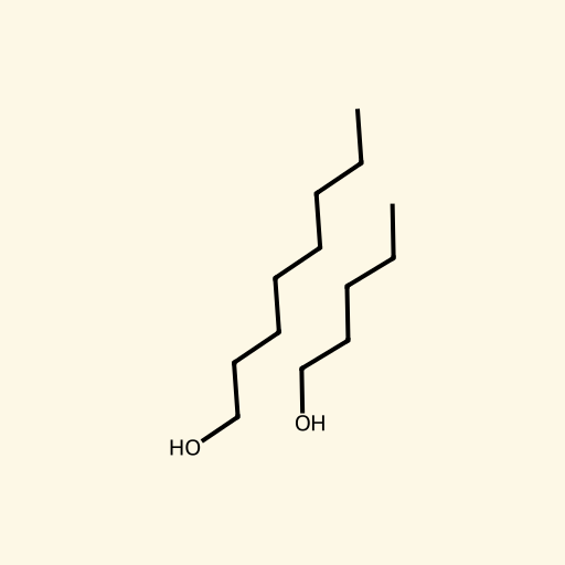 CCCCCCCCO.CCCCCO